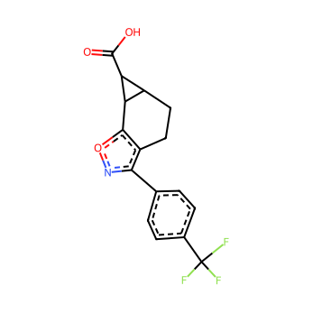 O=C(O)C1C2CCc3c(-c4ccc(C(F)(F)F)cc4)noc3C21